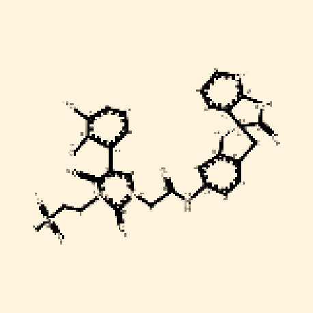 CS(=O)(=O)CCn1c(=O)c(-c2cccc(F)c2Cl)cn(CC(=O)Nc2ccc3c(c2)C[C@@]2(C3)C(=O)Nc3ncccc32)c1=O